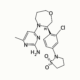 Cc1cc(N2CCCOC[C@H]2c2ccc(N3CCCS3(=O)=O)cc2Cl)nc(N)n1